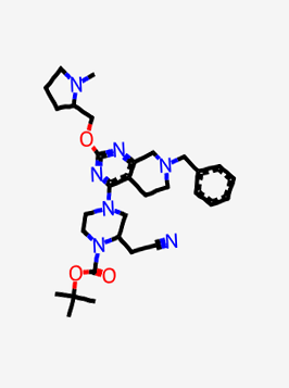 CN1CCCC1COc1nc2c(c(N3CCN(C(=O)OC(C)(C)C)C(CC#N)C3)n1)CCN(Cc1ccccc1)C2